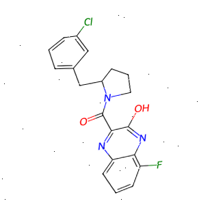 O=C(c1nc2cccc(F)c2nc1O)N1CCCC1Cc1cccc(Cl)c1